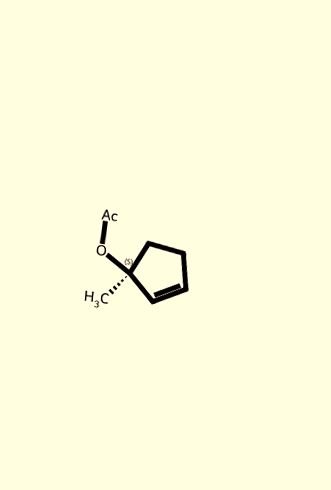 CC(=O)O[C@]1(C)C=CCC1